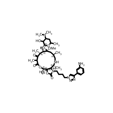 CC[C@H]1OC(=O)C(C)C(=O)[C@H](C)[C@@H](O[C@@H]2OC(C)CC(N(C)C)C2O)[C@](C)(OC)C[C@@H](C)CN[C@H](C)[C@H]2N(CCCCn3cc(-c4cccc(N)c4)nn3)C(=O)O[C@]12C